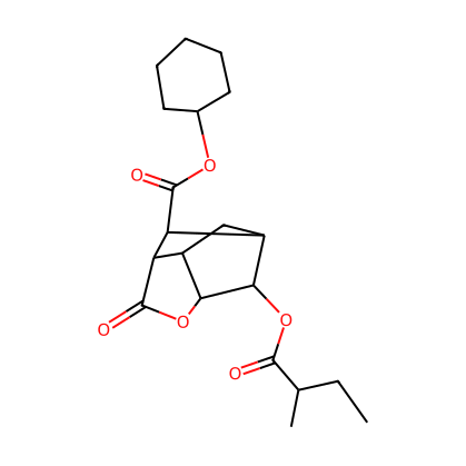 CCC(C)C(=O)OC1C2CC3C1OC(=O)C3C2C(=O)OC1CCCCC1